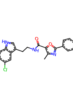 Cc1nc(-c2ccccc2)oc1C(=O)NCCc1c[nH]c2ccc(Cl)cc12